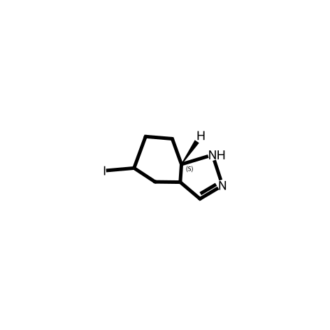 IC1CC[C@@H]2NN=CC2C1